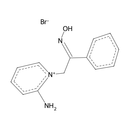 Nc1cccc[n+]1CC(=NO)c1ccccc1.[Br-]